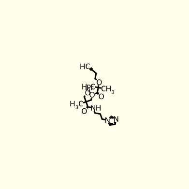 C#CCCOC(C)(C)C(=O)OCC(C)(COC(C)C)C(=O)NCCCn1ccnc1